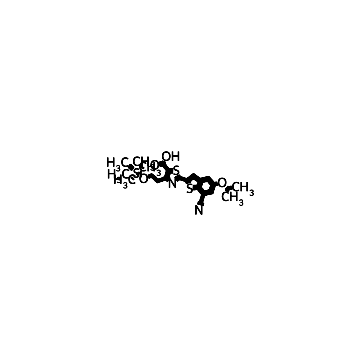 CC(C)Oc1cc(C#N)c2sc(-c3nc(CCO[Si](C)(C)C(C)(C)C)c(C(=O)O)s3)cc2c1